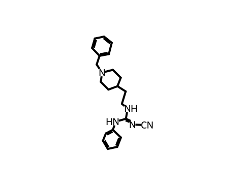 N#C/N=C(\NCCC1CCN(Cc2ccccc2)CC1)Nc1ccccc1